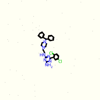 Nc1nc(NCCN2CCN(C(c3ccccc3)c3ccccc3)CC2)nc(-c2cc(Cl)ccc2Cl)n1